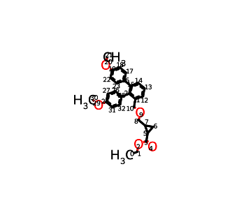 CCOC(=O)C1CC1COCc1cccc(-c2ccc(OC)cc2)c1-c1ccc(OC)cc1